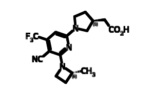 C[C@@H]1CCN1c1nc(N2CC[C@@H](CC(=O)O)C2)cc(C(F)(F)F)c1C#N